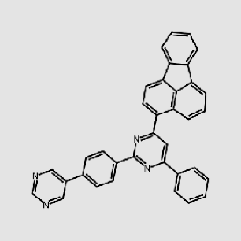 c1ccc(-c2cc(-c3ccc4c5c(cccc35)-c3ccccc3-4)nc(-c3ccc(-c4cncnc4)cc3)n2)cc1